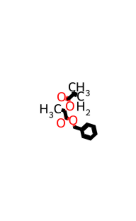 C=C(C)C(=O)OC(C)C(=O)OCc1ccccc1